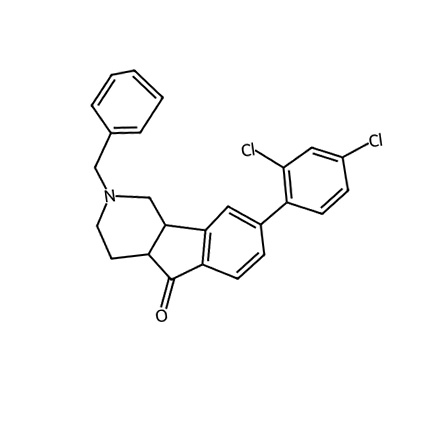 O=C1c2ccc(-c3ccc(Cl)cc3Cl)cc2C2CN(Cc3ccccc3)CCC12